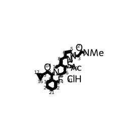 CNC(=O)Cn1ccc(C=C2CN(C(C(=O)C3CC3)c3ccccc3F)CCC2SC(C)=O)n1.Cl